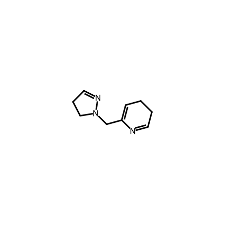 C1=NC(CN2CCC=N2)=CCC1